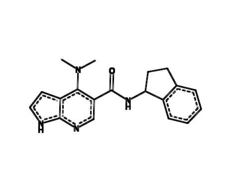 CN(C)c1c(C(=O)NC2CCc3ccccc32)cnc2[nH]ccc12